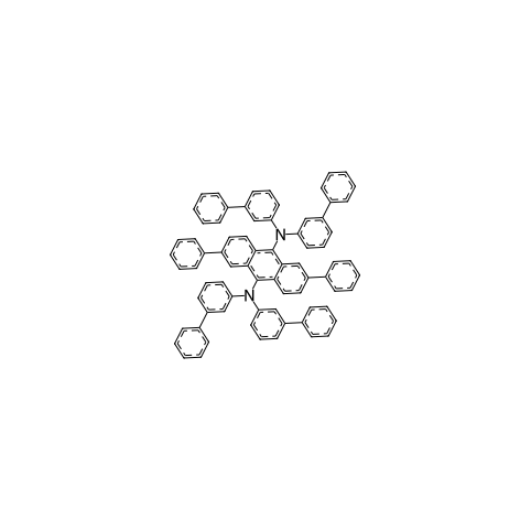 c1ccc(-c2cccc(N(c3cccc(-c4ccccc4)c3)c3c4ccc(-c5ccccc5)cc4c(N(c4cccc(-c5ccccc5)c4)c4cccc(-c5ccccc5)c4)c4ccc(-c5ccccc5)cc34)c2)cc1